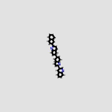 c1ccc2cc(-c3ccc4cc(-c5ccc6nc(-c7cnc8ccccc8c7)ccc6c5)ccc4n3)ccc2c1